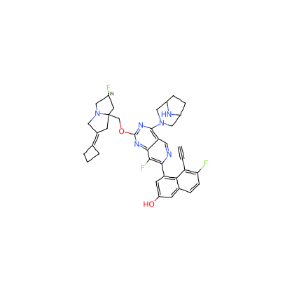 C#Cc1c(F)ccc2cc(O)cc(-c3ncc4c(N5CC6CCC(C5)N6)nc(OCC56CC(=C7CCC7)CN5C[C@@H](F)C6)nc4c3F)c12